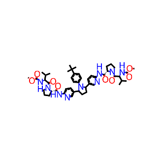 COC(=O)N[C@H](C(=O)N1CCC[C@H]1C(=O)Nc1ccc(C2CCC(c3ccc(NC(=O)[C@@H]4CCCN4C(=O)[C@@H](NC(=O)OC)C(C)C)nc3)N2c2ccc(C(C)(C)C)cc2)cn1)C(C)C